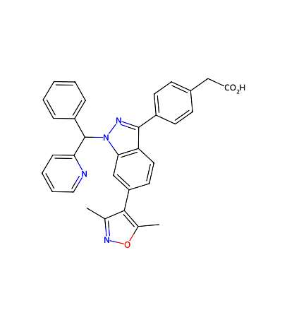 Cc1noc(C)c1-c1ccc2c(-c3ccc(CC(=O)O)cc3)nn(C(c3ccccc3)c3ccccn3)c2c1